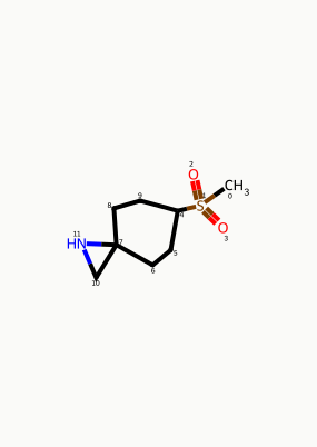 CS(=O)(=O)C1CCC2(CC1)CN2